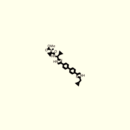 COC(=O)N(C)C1(C(=O)NC(c2nc(-c3ccc(-c4ccc(-c5c[nH]c(CC6CC6)n5)cc4)cc3)c[nH]2)C2CC2)CC1